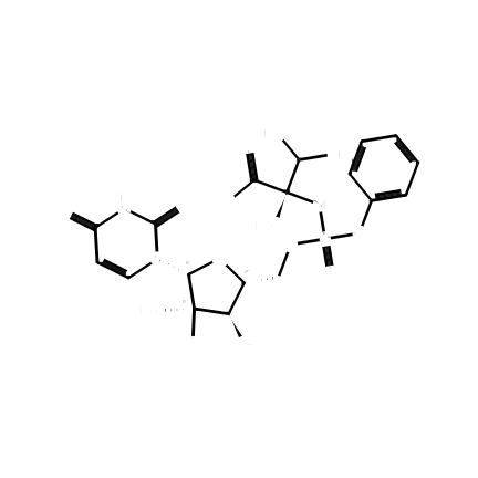 CC(C)[C@](C)(NP(=O)(OC[C@H]1O[C@@H](n2ccc(=O)[nH]c2=O)[C@](C)(F)[C@@H]1O)Oc1ccccc1)C(=O)O